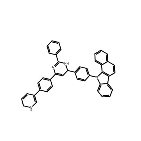 C1=CC(c2ccc(C3=CC(c4ccc(-n5c6ccccc6c6ccc7ccccc7c65)cc4)NC(c4ccccc4)=N3)cc2)=CNC1